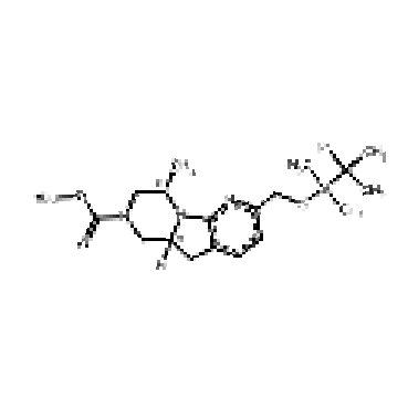 CC(C)C(C)(C)[Si](C)(C)OCc1ccc2c(n1)N1[C@H](C2)CN(C(=O)OC(C)(C)C)C[C@H]1C